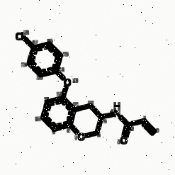 C=CC(=O)NC1COc2cccc(Oc3ccc(Cl)cc3)c2C1